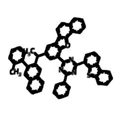 Cc1ccccc1-c1cc2ccccc2cc1C(C)c1cc(-c2nc(-c3ccccc3)nc(-c3cccc4c3sc3ccccc34)n2)c2oc3c4ccccc4ccc3c2c1